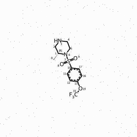 C[C@@H]1CNCCN1S(=O)(=O)c1ccc(OC(F)(F)F)cc1